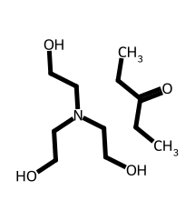 CCC(=O)CC.OCCN(CCO)CCO